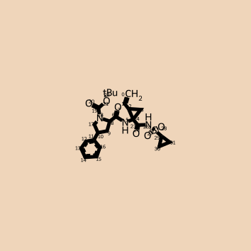 C=CC1CC1(NC(=O)C1CC(c2ccccc2)CN1C(=O)OC(C)(C)C)C(=O)NS(=O)(=O)C1CC1